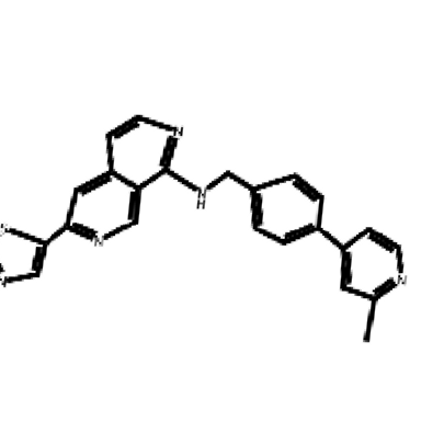 Cc1cc(-c2ccc(CNc3nccc4cc(-c5cncs5)ncc34)cc2)ccn1